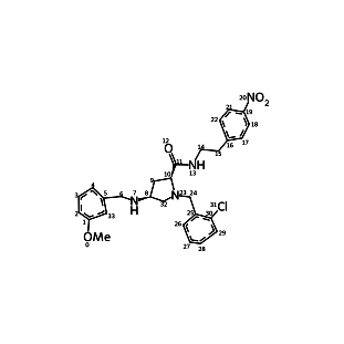 COc1cccc(CN[C@H]2C[C@@H](C(=O)NCCc3ccc([N+](=O)[O-])cc3)N(Cc3ccccc3Cl)C2)c1